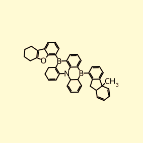 CC12C=CC=CC1Cc1c(B3c4cccc5c4N(C4=C(CCC=C4)B5c4cccc5c6c(oc45)CCCC6)C4C=CC=CC34)cccc12